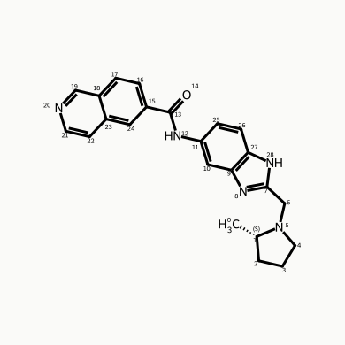 C[C@H]1CCCN1Cc1nc2cc(NC(=O)c3ccc4cnccc4c3)ccc2[nH]1